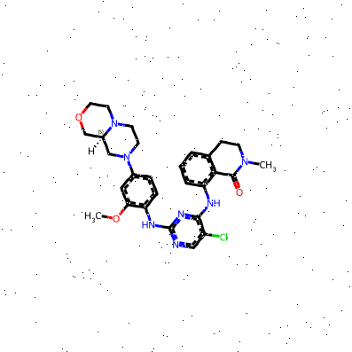 COc1cc(N2CCN3CCOC[C@@H]3C2)ccc1Nc1ncc(Cl)c(Nc2cccc3c2C(=O)N(C)CC3)n1